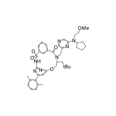 COCCN(c1cncc(CN2C(=O)c3cccc(c3)S(=O)(=O)Nc3nc(cc(-c4c(C)cccc4C)n3)OCC2CC(C)(C)C)n1)C1CCCC1